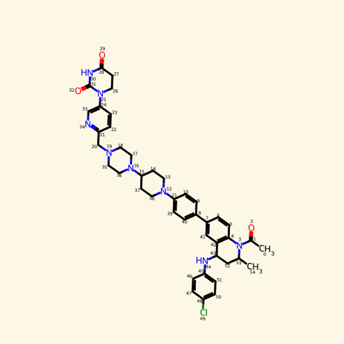 CC(=O)N1c2ccc(-c3ccc(N4CCC(N5CCN(Cc6ccc(N7CCC(=O)NC7=O)cn6)CC5)CC4)cc3)cc2C(Nc2ccc(Cl)cc2)CC1C